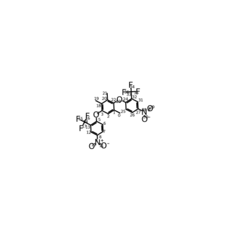 Cc1cc(Oc2ccc([N+](=O)[O-])cc2C(F)(F)F)c(C)c(C)c1Oc1ccc([N+](=O)[O-])cc1C(F)(F)F